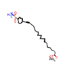 CC(C)(C)OC(=O)CCCCCCCCCCCCCC#Cc1ccc(S(N)(=O)=O)cc1